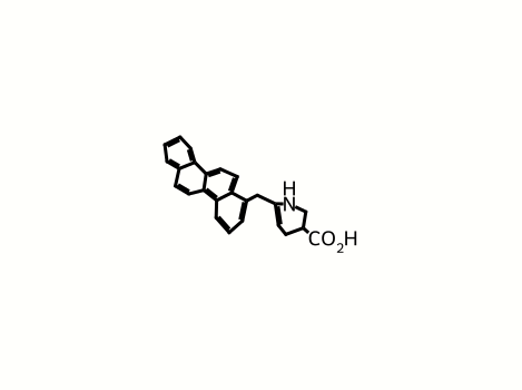 O=C(O)C1CC=C(Cc2cccc3c2ccc2c4ccccc4ccc32)NC1